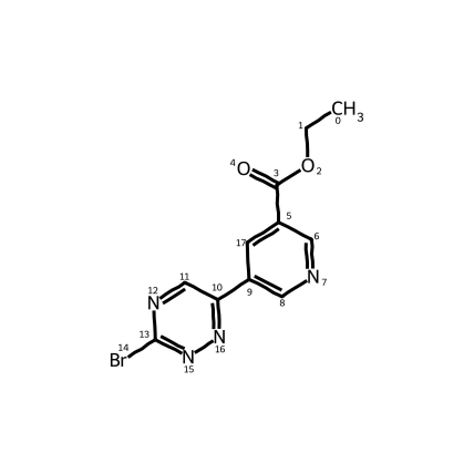 CCOC(=O)c1cncc(-c2cnc(Br)nn2)c1